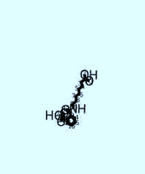 O=C(O)CCCCCCCNC(=O)c1ccccc1S(=O)(=O)O